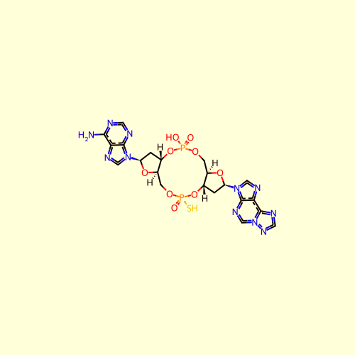 Nc1ncnc2c1ncn2[C@H]1C[C@@H]2OP(=O)(O)OC[C@H]3O[C@@H](n4cnc5c4ncn4ncnc54)C[C@@H]3OP(=O)(S)OC[C@H]2O1